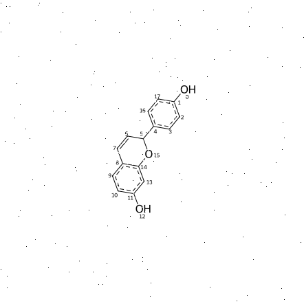 Oc1ccc(C2C=Cc3ccc(O)cc3O2)cc1